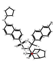 NC1CC2CCC(C1)N2C(=O)[C@@H](NS(=O)(=O)c1ccc2cc(OC3CCCC3)ccc2c1)C(F)(F)c1ccc2cc(Br)ccc2c1